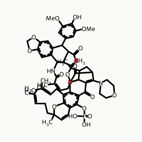 COc1cc(C2c3cc4c(cc3C(NC(=O)/C(C)=C\CC35OC(C)(C)C6CC(C3=O)C(N3CCOCC3)=C3C(=O)c7c(OP(=O)(O)O)c8c(c(CC=C(C)C)c7OC365)OC(C)(CCC=C(C)C)C=C8)C3COC(=O)C23)OCO4)cc(OC)c1O